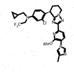 COc1nc(-c2nc3n(n2)CCC[C@@H]3c2ccc(N(CC3CC3)CC(F)(F)F)cc2Cl)ccc1-n1cnc(C)c1